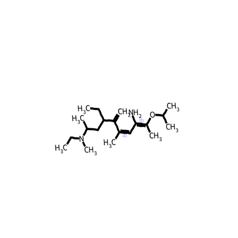 C=C(/C(C)=C\C(N)=C(/C)OC(C)C)C(CC)CC(C)N(C)CC